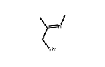 [CH2]C(CCCC)=NC